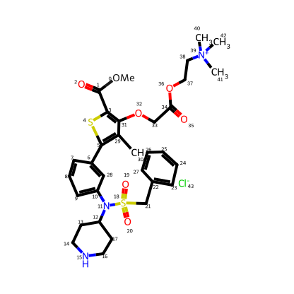 COC(=O)c1sc(-c2cccc(N(C3CCNCC3)S(=O)(=O)Cc3ccccc3)c2)c(C)c1OCC(=O)OCC[N+](C)(C)C.[Cl-]